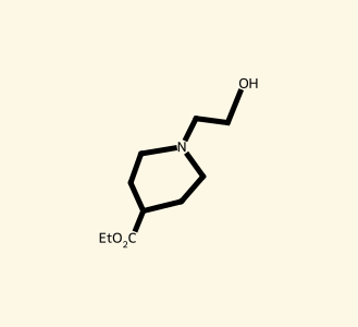 CCOC(=O)C1CCN(CCO)CC1